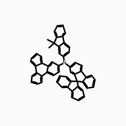 CC1(C)c2ccccc2-c2ccc(N(c3ccc4c(c3)C3(c5ccccc5-c5ccccc53)c3ccccc3-4)c3ccc4c5ccccc5c5ccccc5c4c3)cc21